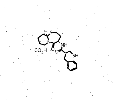 O=C(N[C@H]1CCS[C@H]2CCC[C@@H](C(=O)O)N2C1=O)C(CS)Cc1ccccc1